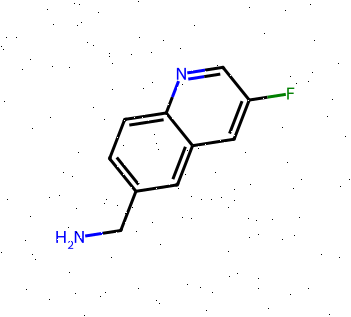 NCc1ccc2ncc(F)cc2c1